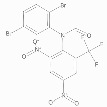 O=CN(c1cc(Br)ccc1Br)c1c([N+](=O)[O-])cc([N+](=O)[O-])cc1C(F)(F)F